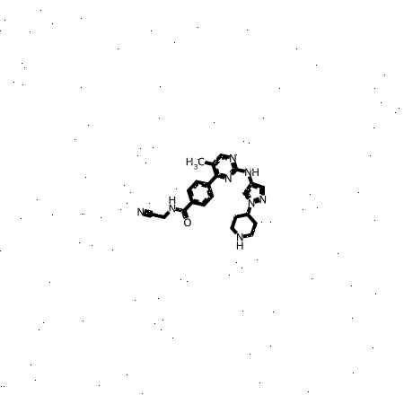 Cc1cnc(Nc2cnn(C3CCNCC3)c2)nc1-c1ccc(C(=O)NCC#N)cc1